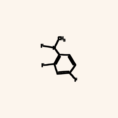 CN(F)c1ccc(F)cc1F